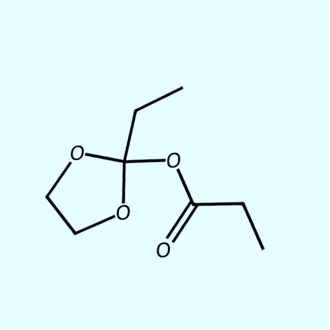 CCC(=O)OC1(CC)OCCO1